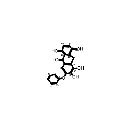 O=C1c2cc(Oc3ccccc3)c(O)c(O)c2Cc2c(O)ccc(O)c21